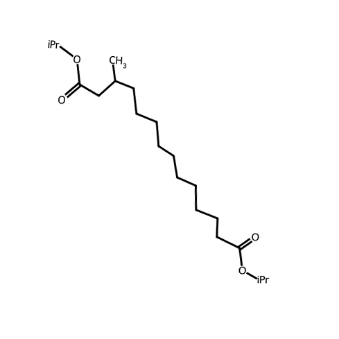 CC(CCCCCCCCCCC(=O)OC(C)C)CC(=O)OC(C)C